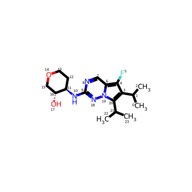 CC(C)c1c(F)c2cnc(N[C@@H]3CCOC[C@H]3O)nn2c1C(C)C